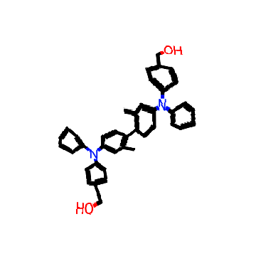 Cc1cc(N(c2ccccc2)c2ccc(CO)cc2)ccc1-c1ccc(N(c2ccccc2)c2ccc(CO)cc2)cc1C